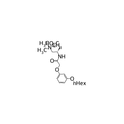 CCCCCCOc1cccc(OCC(=O)N[C@H](CC(=O)O)C[N+](C)(C)C)c1